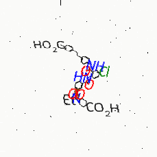 CCN([C@H]1CC[C@H](C(=O)O)CC1)S(=O)(=O)c1cccc(C(=O)Nc2ccc(Cl)cc2C(=O)Nc2ccc(CCc3ccc(C(=O)O)cc3)cc2)c1